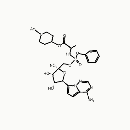 CC(=O)N1CCC(OC(=O)C(C)NP(=O)(OC[C@@]2(C#N)O[C@@H](c3ccc4c(N)ncnn34)[C@H](O)[C@@H]2O)Oc2ccccc2)CC1